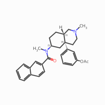 CC(=O)Oc1cccc([C@@]23CCN(C)C[C@H]2CC[C@H](N(C)C(=O)c2ccc4ccccc4c2)C3)c1